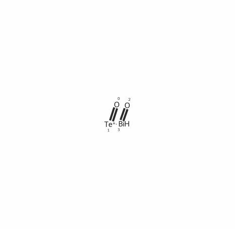 O=[Te+].[O]=[BiH]